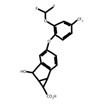 O=C(O)C1C2c3ccc(Oc4ccc(C(F)(F)F)cc4OC(F)F)cc3C(O)C12